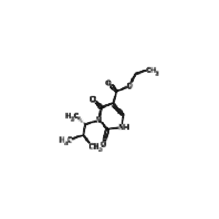 CCOC(=O)c1c[nH]c(=O)n([C@@H](C)C(C)C)c1=O